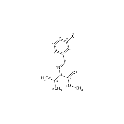 COC(=O)C(N=Cc1cccc(Cl)c1)C(C)C